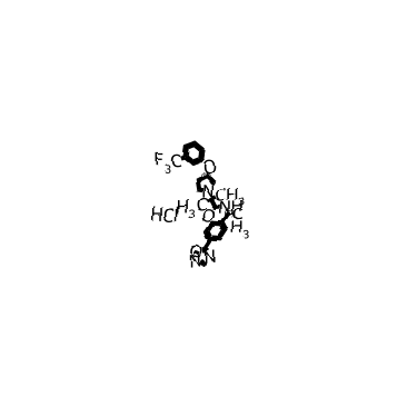 C[C@H](NC(=O)C(C)(C)N1CC[C@@H](Oc2cccc(C(F)(F)F)c2)C1)c1ccc(-c2ncno2)cc1.Cl